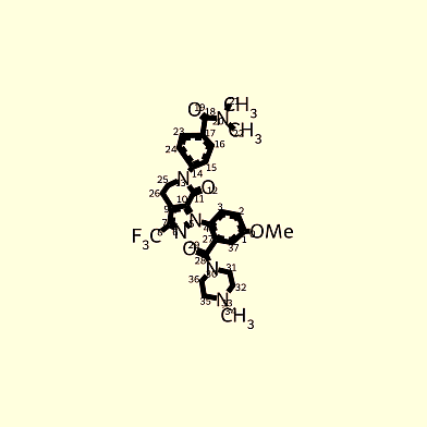 COc1ccc(-n2nc(C(F)(F)F)c3c2C(=O)N(c2ccc(C(=O)N(C)C)cc2)CC3)c(C(=O)N2CCN(C)CC2)c1